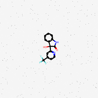 O=C1Nc2ccccc2C1(O)c1cc(C(F)(F)F)ccn1